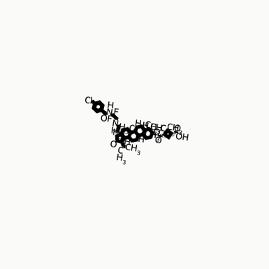 CC(C)C1=C2[C@H]3CC[C@@H]4[C@@]5(C)CC[C@H](OC(=O)[C@H]6C[C@@H](C(=O)O)C6(C)C)C(C)(C)[C@@H]5CC[C@@]4(C)[C@]3(C)CC[C@@]2(CCNCC(F)(F)NC(=O)c2ccc(Cl)cc2)CC1=O